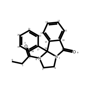 CCC(=O)N1CCN2C(=O)c3ccccc3C12c1ccccc1